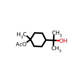 CC(=O)OC1(C)CCC(C(C)(C)O)CC1